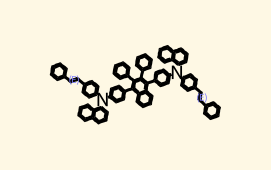 C(=C\c1ccc(N(c2ccc(-c3c(-c4ccccc4)c(-c4ccccc4)c(-c4ccc(N(c5ccc(/C=C/c6ccccc6)cc5)c5cccc6ccccc56)cc4)c4ccccc34)cc2)c2cccc3ccccc23)cc1)/c1ccccc1